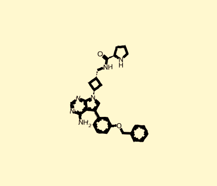 Nc1ncnc2c1c(-c1cccc(OCc3ccccc3)c1)cn2[C@H]1C[C@@H](CNC(=O)[C@H]2CCCN2)C1